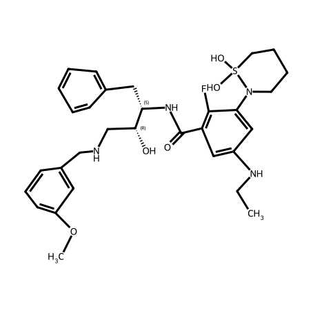 CCNc1cc(C(=O)N[C@@H](Cc2ccccc2)[C@H](O)CNCc2cccc(OC)c2)c(F)c(N2CCCCS2(O)O)c1